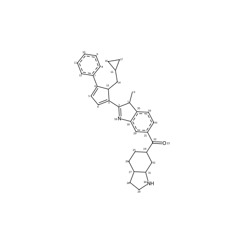 CC1C(C2=CC=C(c3ccccc3)C2CC2CC2)=Nc2cc(C(=O)C3CCC4CCNC4C3)ccc21